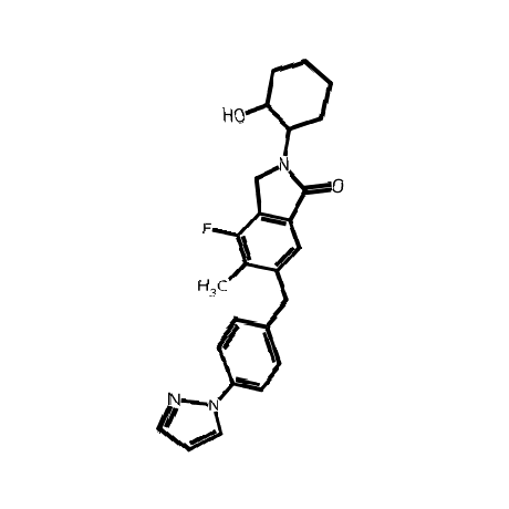 Cc1c(Cc2ccc(-n3cccn3)cc2)cc2c(c1F)CN(C1CCCCC1O)C2=O